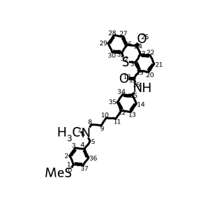 CSc1ccc(CN(C)CCCCc2ccc(NC(=O)c3cccc4c(=O)c5ccccc5sc34)cc2)cc1